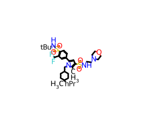 CCCC1(C)CCC(Cn2c(-c3ccc(S(=O)(=O)NC(C)(C)C)c(C(F)F)c3)cc(S(=O)(=O)NCCN3CCOCC3)c2C)CC1